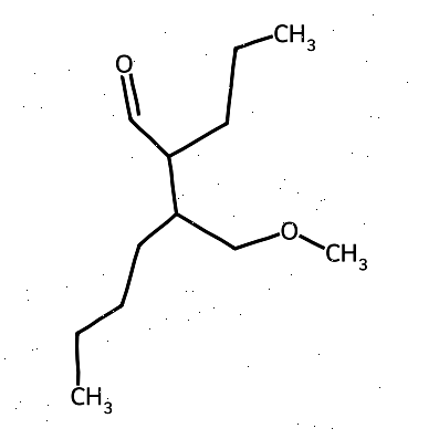 CCCCC(COC)C(C=O)CCC